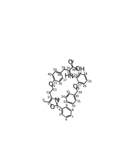 Cc1oc(-c2ccccc2)nc1CCOc1ccc(C[C@H](Nc2ccccc2OCc2ccccc2)C(=O)O)cc1